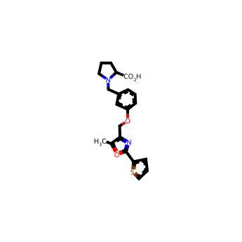 Cc1oc(-c2cccs2)nc1COc1cccc(CN2CCCC2C(=O)O)c1